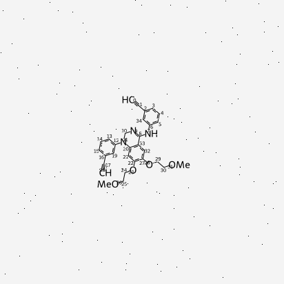 C#Cc1cccc(NC2=NCN(c3cccc(C#C)c3)c3cc(OCCOC)c(OCCOC)cc32)c1